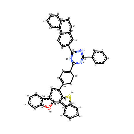 C1=C(c2nc(-c3ccccc3)nc(-c3ccc4c(ccc5ccccc54)c3)n2)CCC(c2cc3c4ccccc4oc3c3c2sc2ccccc23)=C1